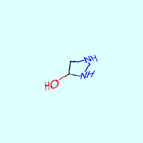 OC1CNN1